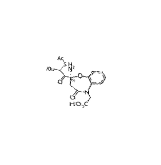 CCC(C)C(SC(C)=O)C(=O)[C@]1(N)CC(=O)N(CC(=O)O)c2ccccc2O1